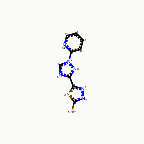 Sc1nnc(-c2ncn(-c3ccccn3)n2)s1